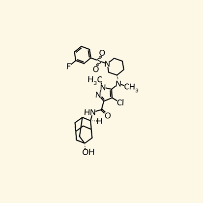 CN(c1c(Cl)c(C(=O)N[C@H]2C3CC4CC2C[C@](O)(C4)C3)nn1C)[C@H]1CCCN(S(=O)(=O)c2cccc(F)c2)C1